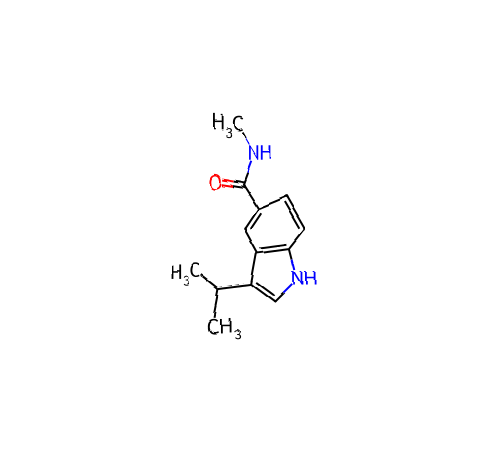 CNC(=O)c1ccc2[nH]cc(C(C)C)c2c1